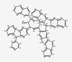 CC[C@H]1/C(c2ccc3ccccc3c2)=C/C[C@H](C)/C(c2cc3sc4c5ccccc5ccc4c3cc2-n2c3cc4ccccc4cc3c3cc4ccccc4cc32)=N\C1c1ccc2c(c1)c1ccccc1n2-c1ccccc1